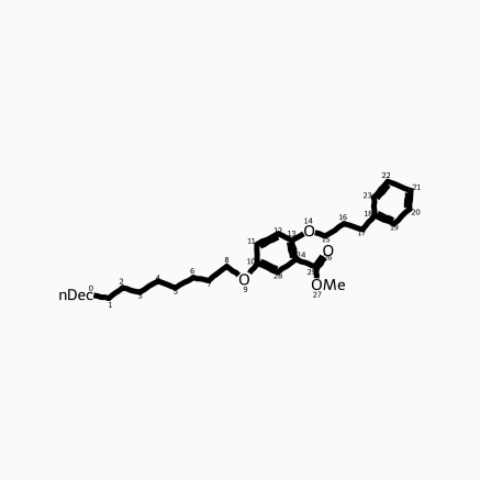 CCCCCCCCCCCCCCCCCCOc1ccc(OCCCc2ccccc2)c(C(=O)OC)c1